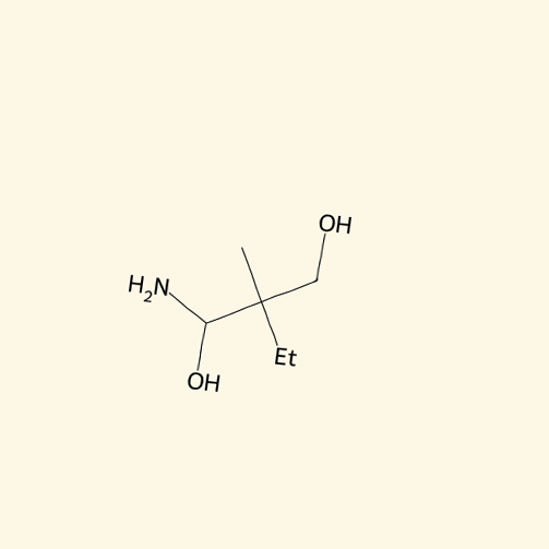 CCC(C)(CO)C(N)O